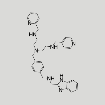 c1ccc(CNCCN(CCNCc2ccncc2)Cc2ccc(CNCc3nc4ccccc4[nH]3)cc2)nc1